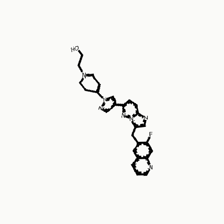 OCCN1CCC(n2cc(-c3ccc4ncc(Cc5cc6cccnc6cc5F)n4n3)cn2)CC1